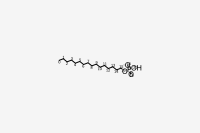 CCCCCCCCCCCCCCCCOP([O])(=O)O